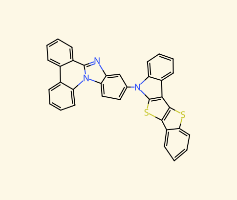 c1ccc2c(c1)sc1c2sc2c1c1ccccc1n2-c1ccc2c(c1)nc1c3ccccc3c3ccccc3n21